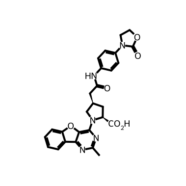 Cc1nc(N2C[C@@H](CC(=O)Nc3ccc(N4CCOC4=O)cc3)C[C@H]2C(=O)O)c2oc3ccccc3c2n1